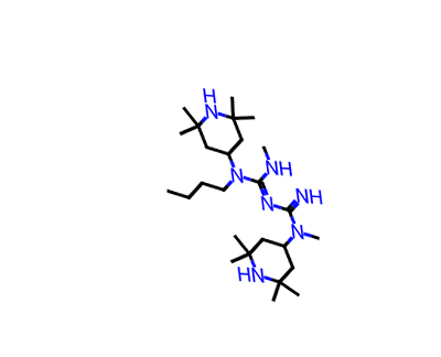 CCCCN(/C(=N/C(=N)N(C)C1CC(C)(C)NC(C)(C)C1)NC)C1CC(C)(C)NC(C)(C)C1